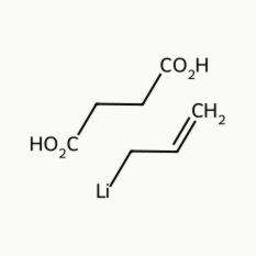 O=C(O)CCC(=O)O.[Li][CH2]C=C